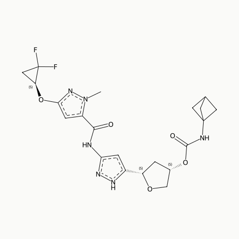 Cn1nc(O[C@H]2CC2(F)F)cc1C(=O)Nc1cc([C@@H]2C[C@H](OC(=O)NC34CC(C3)C4)CO2)[nH]n1